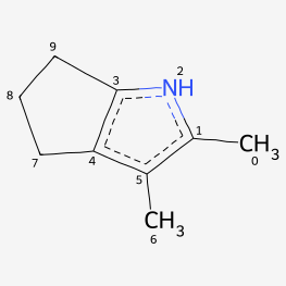 Cc1[nH]c2c(c1C)CCC2